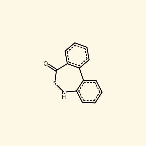 O=C1SNc2ccccc2-c2ccccc21